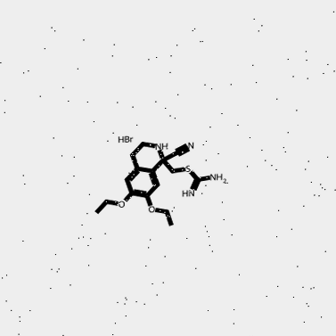 Br.CCOc1cc2c(cc1OCC)C(C#N)(CSC(=N)N)NCC2